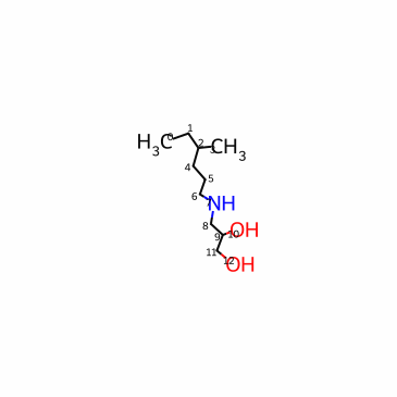 CCC(C)CCCNCC(O)CO